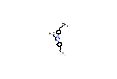 C=Cc1c[n+](-c2ccc(CCC)cc2)cn1-c1ccc(CCC)cc1